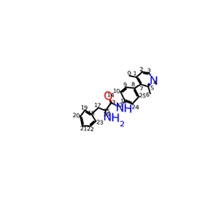 Cc1ccnc(C)c1-c1ccc(NC(=O)C(N)Cc2ccccc2)cc1